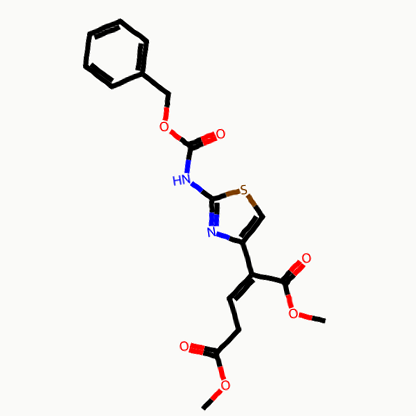 COC(=O)CC=C(C(=O)OC)c1csc(NC(=O)OCc2ccccc2)n1